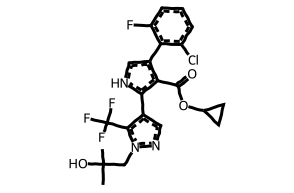 CC(C)(O)Cn1ncc(-c2[nH]cc(-c3c(F)cccc3Cl)c2C(=O)OC2CC2)c1C(F)(F)F